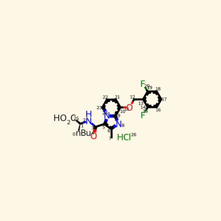 CCCC[C@H](NC(=O)c1c(C)nc2c(OCc3c(F)cccc3F)cccn12)C(=O)O.Cl